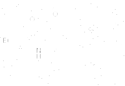 CCC(=O)NC1=C(C)c2ccccc2C1=O